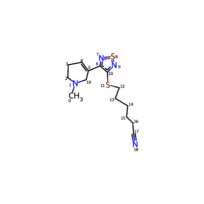 CN1CCC=C(c2nsnc2SCCCCCC#N)C1